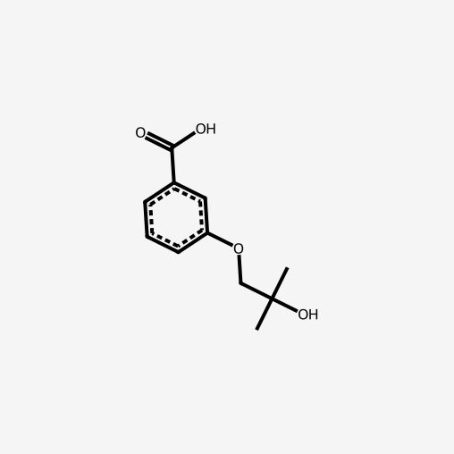 CC(C)(O)COc1cccc(C(=O)O)c1